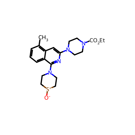 CCOC(=O)N1CCN(c2cc3c(C)cccc3c(N3CC[S+]([O-])CC3)n2)CC1